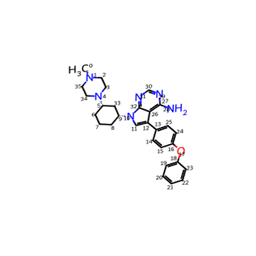 CN1CCN([C@H]2CCC[C@@H](n3cc(-c4ccc(Oc5ccccc5)cc4)c4c(N)ncnc43)C2)CC1